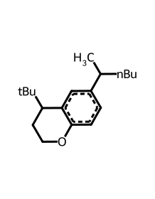 CCCCC(C)c1ccc2c(c1)C(C(C)(C)C)CCO2